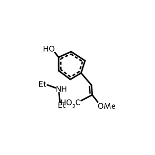 CCNCC.COC(=Cc1ccc(O)cc1)C(=O)O